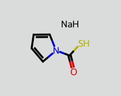 O=C(S)n1cccc1.[NaH]